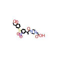 C=C(C(=O)N1CCN(CC(=O)O)CC1)c1ccc(Sc2ccc3c(c2)CCOO3)c([N+](=O)[O-])c1